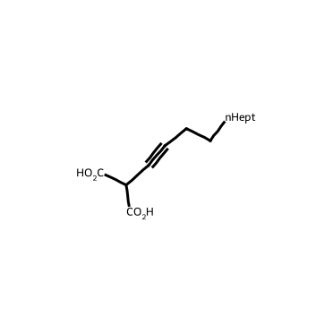 CCCCCCCCCC#CC(C(=O)O)C(=O)O